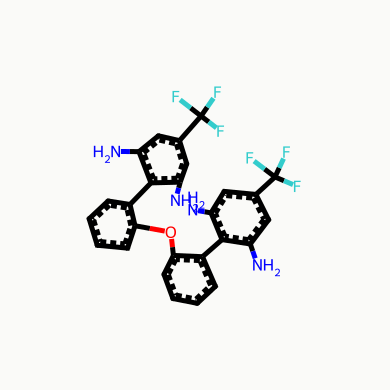 Nc1cc(C(F)(F)F)cc(N)c1-c1ccccc1Oc1ccccc1-c1c(N)cc(C(F)(F)F)cc1N